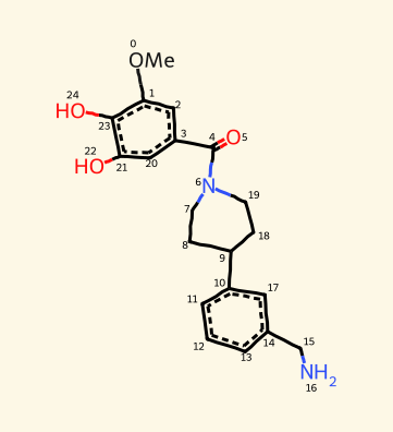 COc1cc(C(=O)N2CCC(c3cccc(CN)c3)CC2)cc(O)c1O